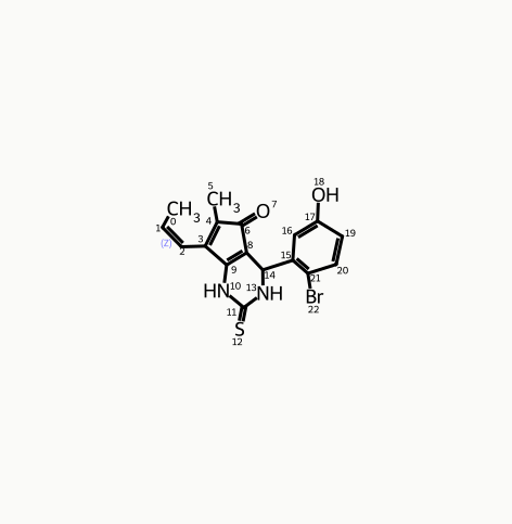 C/C=C\C1=C(C)C(=O)C2=C1NC(=S)NC2c1cc(O)ccc1Br